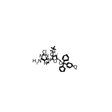 COc1ccc(C(OC[C@H]2O[C@@H](n3cnc4c(N)nc(Cl)nc43)[C@H](O[Si](C)(C)C(C)(C)C)[C@@H]2C)(c2ccccc2)c2ccccc2)cc1